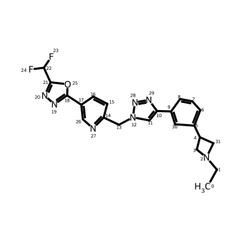 CCN1CC(c2cccc(-c3cn(Cc4ccc(-c5nnc(C(F)F)o5)cn4)nn3)c2)C1